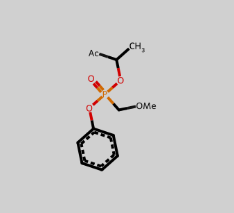 COCP(=O)(Oc1ccccc1)OC(C)C(C)=O